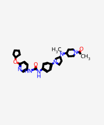 CC(=O)N1CCC(N(C)C2CCN(c3ccc(NC(=O)Nc4ccc(OC5CCCC5)nc4)cc3)C2)CC1